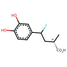 C[C@@H](CC(F)c1ccc(O)c(O)c1)C(=O)O